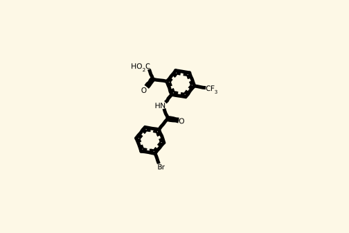 O=C(O)C(=O)c1ccc(C(F)(F)F)cc1NC(=O)c1cccc(Br)c1